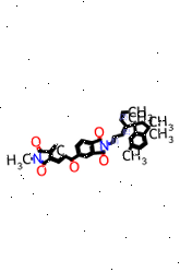 C\C=C/C(=C\C=C\N1C(=O)c2ccc(C(=O)c3ccc4c(c3)C(=O)N(C)C4=O)cc2C1=O)C1(C)CC(C)(C)c2ccc(C)cc21